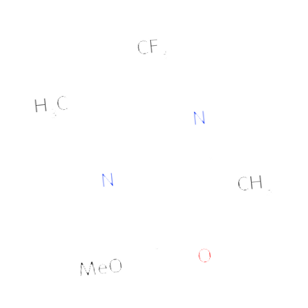 COC(=O)c1nc(C)c(C(F)(F)F)nc1C